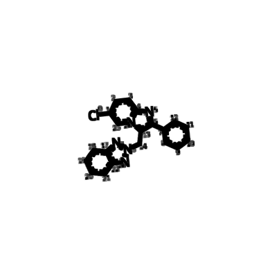 Clc1ccc2nc(-c3ccccc3)c(Cn3nc4ccccc4n3)n2c1